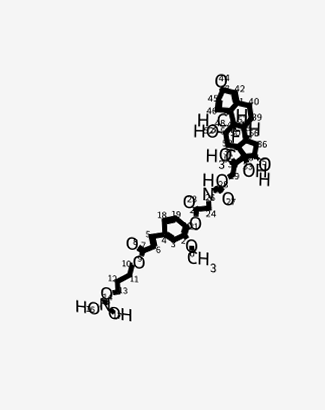 COc1cc(/C=C/C(=O)OCCCCON(O)O)ccc1OC(=O)CNC(=O)OCC(=O)C1(O)[C@H](O)C[C@H]2[C@@H]3CCC4=CC(=O)C=C[C@]4(C)[C@@]3(F)[C@@H](O)C[C@@]21C